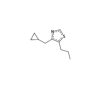 CCCc1scnc1CC1CC1